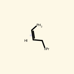 CCCC/C=C\P.I